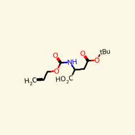 C=CCOC(=O)NC(CC(=O)OC(C)(C)C)C(=O)O